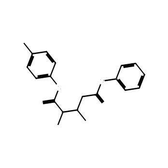 C[C](C(=O)Nc1ccc(C)cc1)C(C)CC(=O)Nc1ccccc1